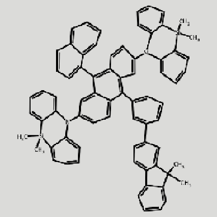 CC1(C)c2ccccc2-c2ccc(-c3cccc(-c4c5cc(N6c7ccccc7[Si](C)(C)c7ccccc76)ccc5c(-c5cccc6ccccc56)c5cc(N6c7ccccc7[Si](C)(C)c7ccccc76)ccc45)c3)cc21